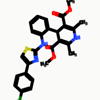 COC(=O)C1=C(C)NC(C)=C(C(=O)OC)C1c1ccccc1Nc1nc(-c2ccc(Cl)cc2)cs1